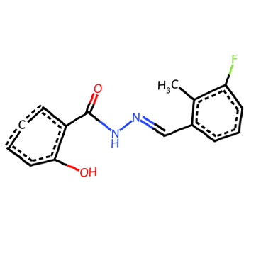 Cc1c(F)cccc1/C=N/NC(=O)c1ccccc1O